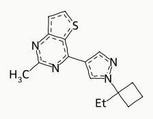 CCC1(n2cc(-c3nc(C)nc4ccsc34)cn2)CCC1